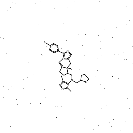 Cc1noc(C)c1N(CC1CCCO1)C[C@H]1CCC2=Cc3c(cnn3-c3ccc(F)cc3)C[C@@]21C